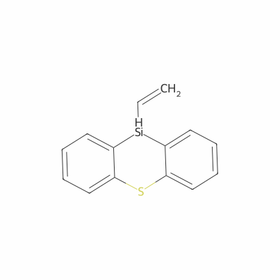 C=C[SiH]1c2ccccc2Sc2ccccc21